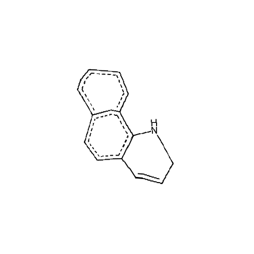 C1=Cc2ccc3ccccc3c2NC1